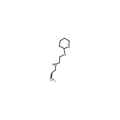 C=CCNCCOC1CCCCO1